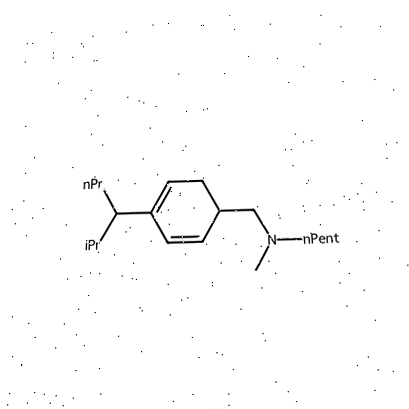 CCCCCN(C)CC1C=CC(C(CCC)C(C)C)=CC1